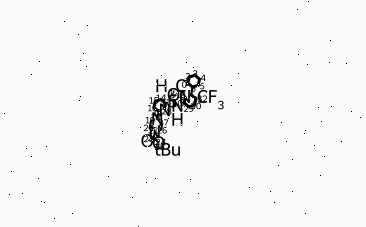 Cc1ccccc1-c1nc(N[S+]([O-])c2cccc(N3CCN(C(=O)OC(C)(C)C)CC3)n2)ccc1C(F)(F)F